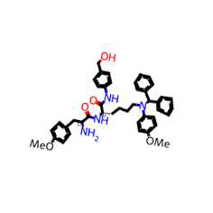 COc1ccc(C[C@H](N)C(=O)N[C@@H](CCCCN(c2ccc(OC)cc2)C(c2ccccc2)c2ccccc2)C(=O)Nc2ccc(CO)cc2)cc1